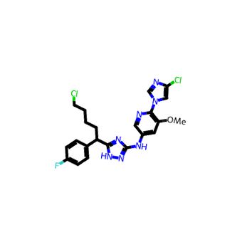 COc1cc(Nc2n[nH]c(C(CCCCCl)c3ccc(F)cc3)n2)cnc1-n1cnc(Cl)c1